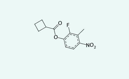 Cc1c([N+](=O)[O-])ccc(OC(=O)C2CCC2)c1F